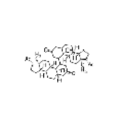 CC(=O)[C@H]1CC[C@H]2[C@@H]3CCC4CC(=O)CC(C5CC(=O)C[C@@H]6CC[C@H]7[C@@H]8CC[C@H](C(C)=O)[C@@]8(C)CC[C@@H]7[C@@]56C)[C@]4(C)[C@H]3CC[C@]12C